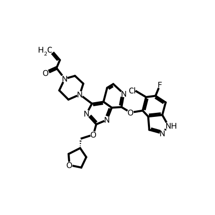 C=CC(=O)N1CCN(c2nc(OC[C@@H]3CCOC3)nc3c(Oc4c(Cl)c(F)cc5[nH]ncc45)nccc23)CC1